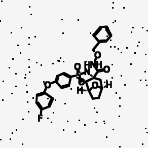 O=C(NOCc1ccccc1)[C@@]1(NS(=O)(=O)c2ccc(Oc3ccc(F)cc3)cc2)C[C@H]2CC[C@@H](C1)O2